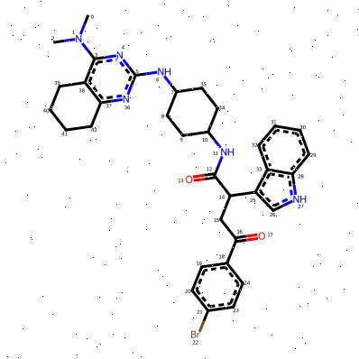 CN(C)c1nc(NC2CCC(NC(=O)C(CC(=O)c3ccc(Br)cc3)c3c[nH]c4ccccc34)CC2)nc2c1CCCC2